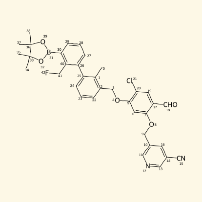 Cc1c(COc2cc(OCc3cncc(C#N)c3)c(C=O)cc2Cl)cccc1-c1cccc(B2OC(C)(C)C(C)(C)O2)c1CF